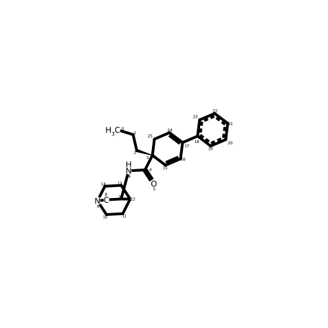 CCC[C@]1(C(=O)NC2CN3CCC2CC3)C=CC(c2ccccc2)=CC1